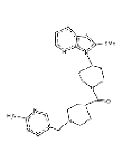 CSc1nc2cccnc2n1C1CCN(C(=O)C2CCN(Cc3cnc(N)nc3)CC2)CC1